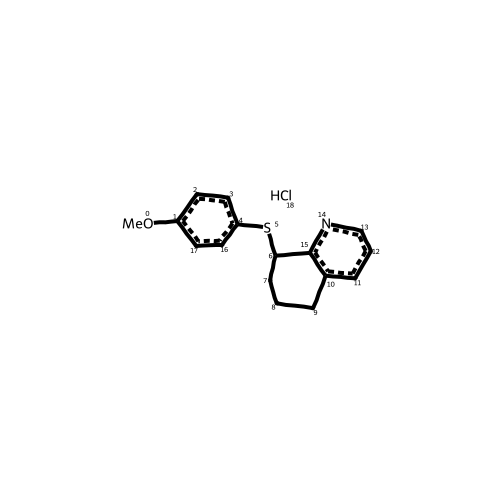 COc1ccc(SC2CCCc3cccnc32)cc1.Cl